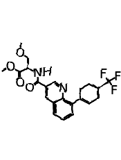 COC[C@@H](NC(=O)c1cnc2c(C3=CC[C@H](C(F)(F)F)CC3)cccc2c1)C(=O)OC